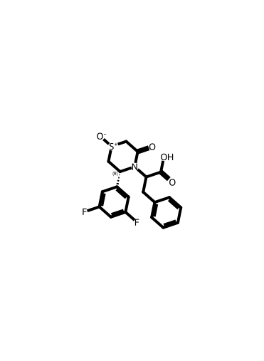 O=C(O)C(Cc1ccccc1)N1C(=O)C[S+]([O-])C[C@H]1c1cc(F)cc(F)c1